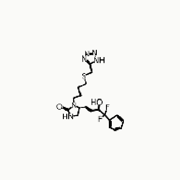 O=C1NC[C@H](C=CC(O)C(F)(F)c2ccccc2)N1CCCCSCc1nnn[nH]1